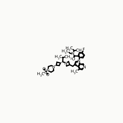 CCN(C(=O)c1cc(F)ccc1-n1cc(CC2CN(C(C(C)C)[C@H]3C[C@@H](N4CCN(S(C)(=O)=O)CC4)C3)C2)c2c(C)cncc21)C(C)C